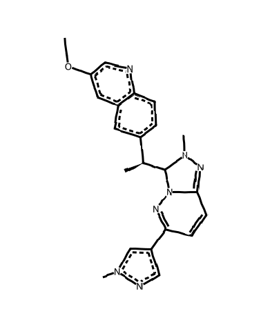 COc1cnc2ccc([C@H](C)C3N(C)N=C4C=CC(c5cnn(C)c5)=NN43)cc2c1